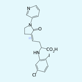 O=C(O)C(C/C=C1/CCN(c2cccnc2)C1=O)Nc1cc(Cl)ccc1I